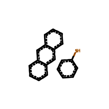 Sc1ccccc1.c1ccc2cc3ccccc3cc2c1